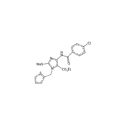 CCOC(=O)c1c(NC(=O)c2ccc(Cl)cc2)nc(SC)n1Cc1cccs1